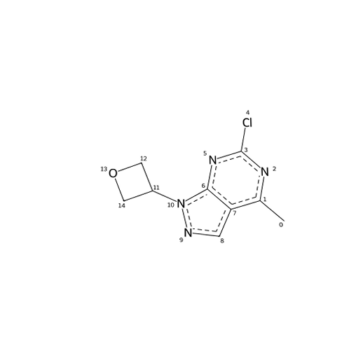 Cc1nc(Cl)nc2c1cnn2C1COC1